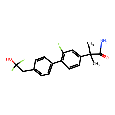 CC(C)(C(N)=O)c1ccc(-c2ccc(CC(O)(F)F)cc2)c(F)c1